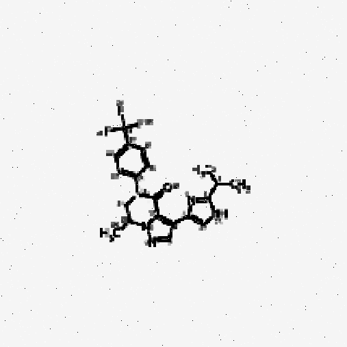 CC(C)c1nc(-c2cnn3c2C(=O)N(c2ccc(C(F)(F)F)cc2)C[C@@H]3C)c[nH]1